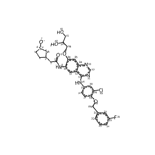 O=C(CC1CC[S+]([O-])S1)Nc1cc2c(Nc3ccc(OCc4cccc(F)c4)c(Cl)c3)ncnc2cc1OCC(O)CO